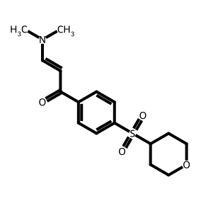 CN(C)C=CC(=O)c1ccc(S(=O)(=O)C2CCOCC2)cc1